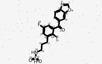 O=C(c1ccc2ncoc2c1)c1cc(F)cc(CCCN[SH](=O)=O)c1F